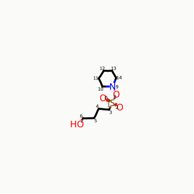 O=S(=O)(CCCCO)ON1CCCCC1